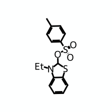 CCN1c2ccccc2SC1OS(=O)(=O)c1ccc(C)cc1